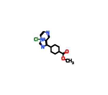 COC(=O)C1CCC(C2=C3C=NC=C[N+]3(Cl)C=N2)CC1